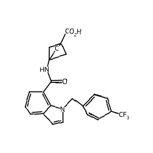 O=C(NC12CC(C(=O)O)(C1)C2)c1cccc2ccn(Cc3ccc(C(F)(F)F)cc3)c12